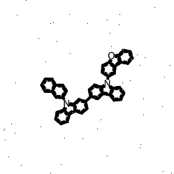 c1ccc2cc(-n3c4ccccc4c4ccc(-c5ccc6c(c5)c5ccccc5n6-c5ccc6oc7ccccc7c6c5)cc43)ccc2c1